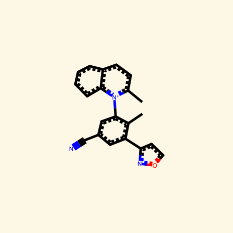 Cc1c(-c2ccon2)cc(C#N)cc1-[n+]1c(C)ccc2ccccc21